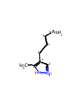 Cc1[nH]ncc1CCC[AsH2]